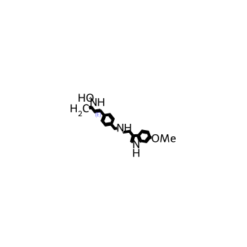 C=C(/C=C/c1ccc(CNCCc2c[nH]c3cc(OC)ccc23)cc1)NO